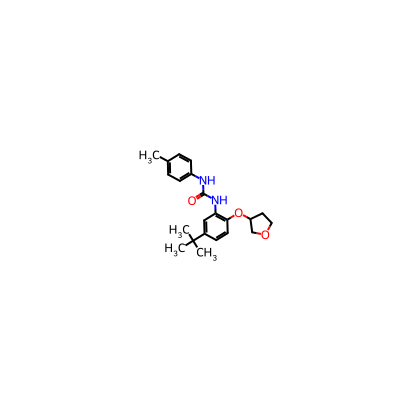 Cc1ccc(NC(=O)Nc2cc(C(C)(C)C)ccc2OC2CCOC2)cc1